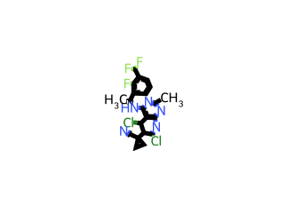 Cc1nc2c(c(N[C@H](C)c3cccc(C(F)F)c3F)n1)C(Cl)C(C1(C#N)CC1)C(Cl)=N2